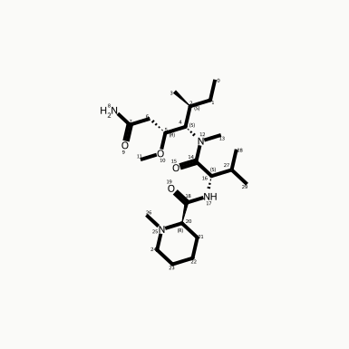 CC[C@H](C)[C@@H]([C@@H](CC(N)=O)OC)N(C)C(=O)[C@@H](NC(=O)[C@H]1CCCCN1C)C(C)C